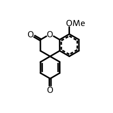 COc1cccc2c1OC(=O)CC21C=CC(=O)C=C1